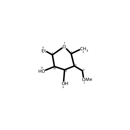 CCC1OC(C)C(COC)C(O)C1O